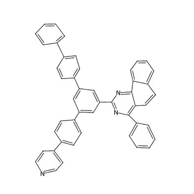 c1ccc(-c2ccc(-c3cc(-c4ccc(-c5ccncc5)cc4)cc(-c4nc(-c5ccccc5)c5ccc6ccccc6c5n4)c3)cc2)cc1